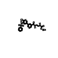 CC(C)(C)OC(=O)NCCNC(=O)c1cncc(-c2cnc(Cl)c(NS(=O)(=O)c3ccccc3)c2)c1